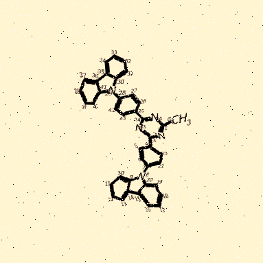 Cc1nc(-c2ccc(-n3c4ccccc4c4ccccc43)cc2)nc(-c2ccc(-n3c4ccccc4c4ccccc43)cc2)n1